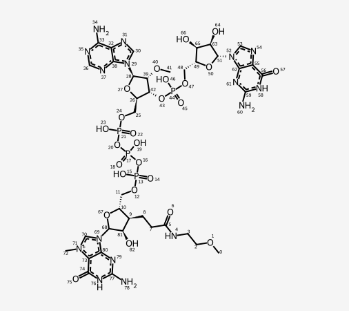 COCCNC(=O)CC[C@@H]1[C@@H](COP(=O)(O)OP(=O)(O)OP(=O)(O)OC[C@H]2O[C@@H](n3cnc4c(N)ncnc43)[C@H](OC)[C@@H]2OP(=O)(O)OC[C@H]2O[C@@H](n3cnc4c(=O)[nH]c(N)nc43)[C@H](O)[C@@H]2O)OC(n2c[n+](C)c3c(=O)[nH]c(N)nc32)[C@@H]1O